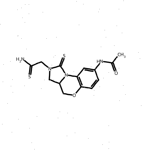 CC(=O)Nc1ccc2c(c1)N1C(=S)N(CC(N)=S)CC1CO2